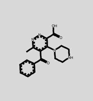 Cc1nnc(C(=O)O)c(N2CCNCC2)c1C(=O)c1ccccc1